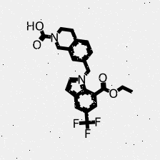 CCOC(=O)c1cc(C(F)(F)F)cc2ccn(Cc3ccc4c(c3)CN(C(=O)O)CC4)c12